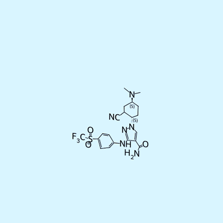 CN(C)[C@H]1CC[C@H](n2cc(C(N)=O)c(Nc3ccc(S(=O)(=O)C(F)(F)F)cc3)n2)C(C#N)C1